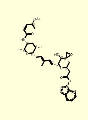 CC(=O)O[C@@H](C)/C=C\C(=O)N[C@@H]1C[C@H](C)[C@H](C/C=C(C)/C=C/[C@H]2O[C@H](CC(=O)On3nnc4cccnc43)C[C@@]3(CO3)[C@@H]2O)O[C@@H]1C